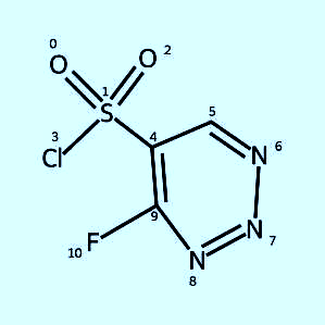 O=S(=O)(Cl)c1cnnnc1F